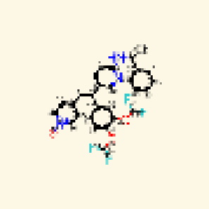 CCC(Nc1ccc(C(Cc2cc[n+]([O-])cc2)c2ccc(OC(F)F)c(OC(F)F)c2)cn1)c1ccccc1